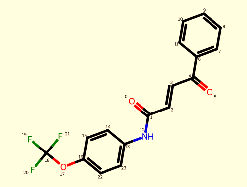 O=C(C=CC(=O)c1ccccc1)Nc1ccc(OC(F)(F)F)cc1